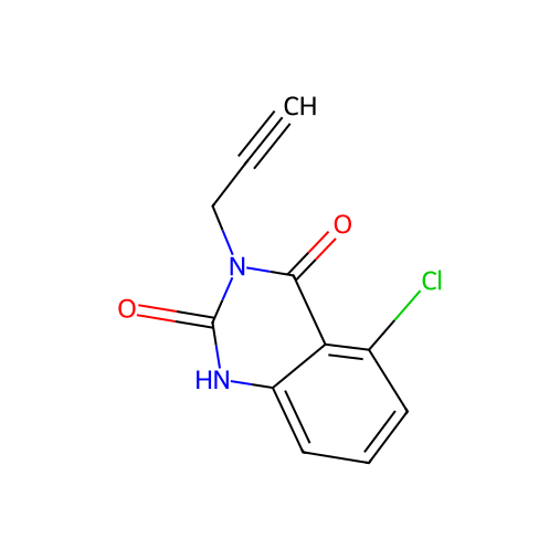 C#CCn1c(=O)[nH]c2cccc(Cl)c2c1=O